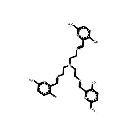 Cc1ccc(O)c(/C=N/CCN(CC/N=C/c2nc(C)ccc2C#N)CC/N=C/c2nc(C)ccc2N=O)n1